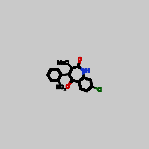 COc1c(-c2ccccc2[N+](=O)[O-])c(=O)c2ccc(Cl)cc2[nH]c1=O